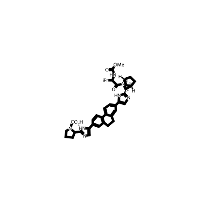 COC(=O)NC(C(=O)N1[C@@H]2CC[C@@H](C2)[C@H]1c1ncc(-c2ccc3c(c2)CCc2cc(-c4cnc(C5CCCN5C(=O)O)[nH]4)ccc2-3)[nH]1)C(C)C